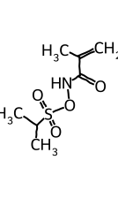 C=C(C)C(=O)NOS(=O)(=O)C(C)C